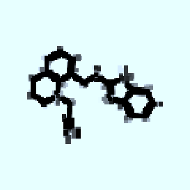 C#CCN1CCCc2cccc(CSc3nc4ccccc4[nH]3)c21